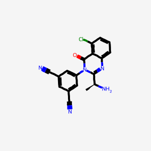 C[C@H](N)c1nc2cccc(Cl)c2c(=O)n1-c1cc(C#N)cc(C#N)c1